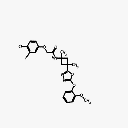 COc1ccccc1Oc1nnc(C2(C)CC(C)(NC(=O)COc3ccc(Cl)c(F)c3)C2)o1